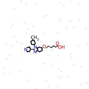 Cc1ccc(-n2c(-c3ccncc3)nc3ccc(OCCCCCC(=O)O)cc32)cc1